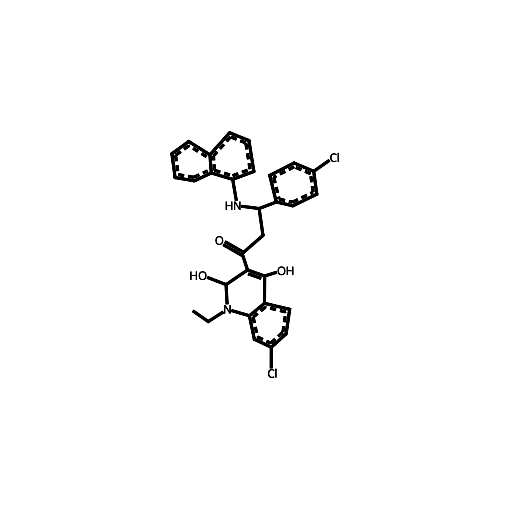 CCN1c2cc(Cl)ccc2C(O)=C(C(=O)CC(Nc2cccc3ccccc23)c2ccc(Cl)cc2)C1O